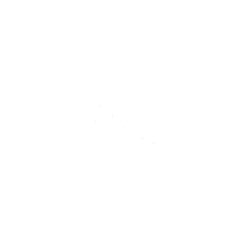 BC(B)(OC(=O)/C=C/C(=O)O)c1ccccc1